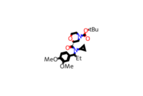 CCC(c1ccc(OC)c(OC)c1)N(C(=O)[C@H]1CN(C(=O)OC(C)(C)C)CCO1)C1CC1